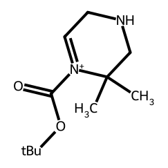 CC(C)(C)OC(=O)[N+]1=CCNCC1(C)C